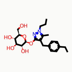 CCCn1nc(O[C@@H]2O[C@H](CO)[C@@H](O)[C@H](O)[C@H]2O)c(Cc2ccc(CC)cc2)c1C